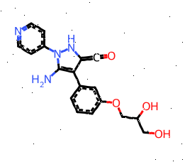 NC1=C(c2cccc(OCC(O)CO)c2)C(=C=O)NN1c1ccncc1